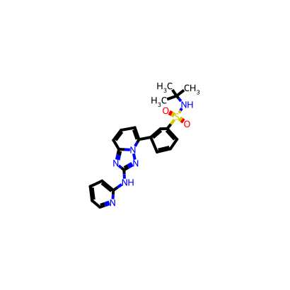 CC(C)(C)NS(=O)(=O)c1cccc(-c2cccc3nc(Nc4ccccn4)nn23)c1